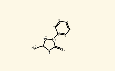 CC1NC(=S)N(c2ccccc2)N1